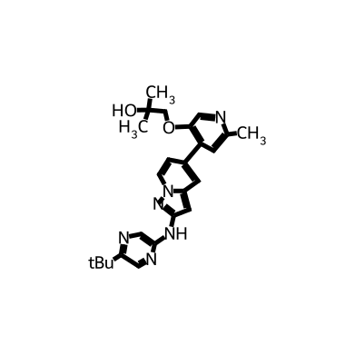 Cc1cc(-c2ccn3nc(Nc4cnc(C(C)(C)C)cn4)cc3c2)c(OCC(C)(C)O)cn1